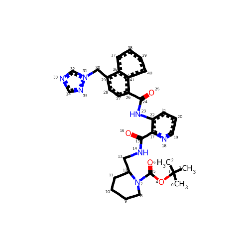 CC(C)(C)OC(=O)N1CCCCC1CNC(=O)c1ncccc1NC(=O)c1ccc(Cn2cncn2)c2ccccc12